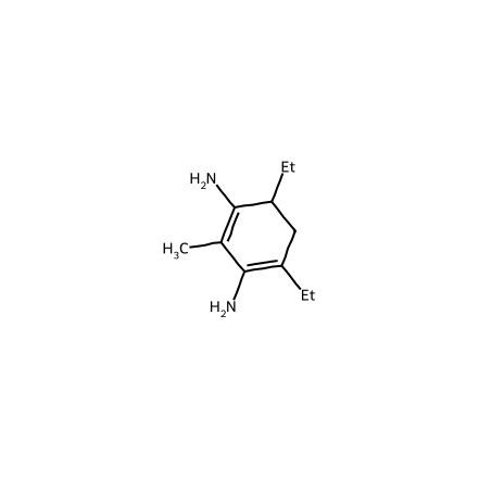 CCC1=C(N)C(C)=C(N)C(CC)C1